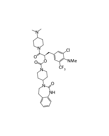 CNc1c(Cl)cc(C[C@@H](OC(=O)N2CCC(N3CCc4ccccc4NC3=O)CC2)C(=O)N2CCC(N(C)C)CC2)cc1C(F)(F)F